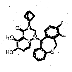 O=C1C2=C(O)C(O)C=CN2N([C@@H]2c3ccccc3SCc3c2ccc(F)c3F)CN1C12CC(C1)C2